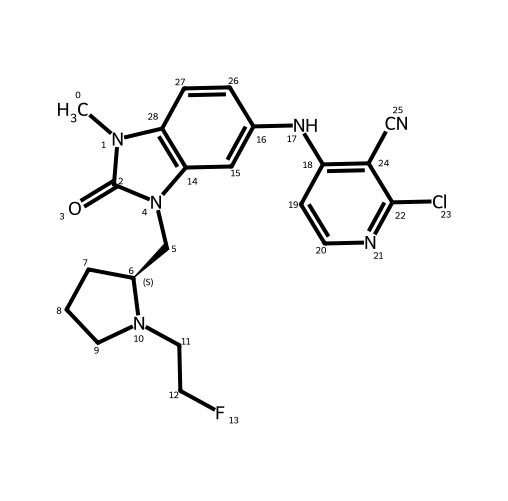 Cn1c(=O)n(C[C@@H]2CCCN2CCF)c2cc(Nc3ccnc(Cl)c3C#N)ccc21